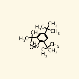 CC(C)(C)c1cc(C(C)(C)C)c(N=O)c(C(C)(C)C)c1